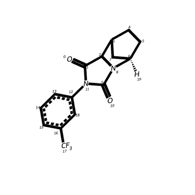 O=C1C2C3CC[C@H](C3)N2C(=O)N1c1cccc(C(F)(F)F)c1